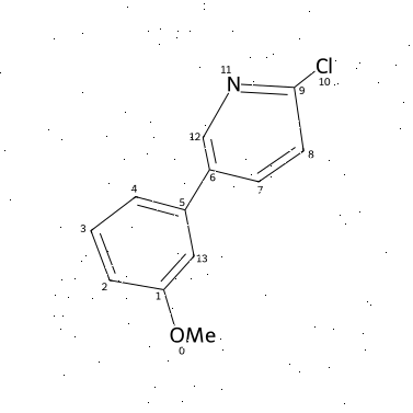 COc1cccc(-c2ccc(Cl)nc2)c1